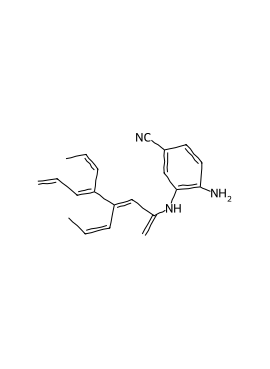 C=C/C=C(\C=C/C)C(/C=C\C)=C/C(=C)Nc1cc(C#N)ccc1N